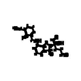 N#Cc1cccc(CNc2cccc3c2CN(C(O)(C=O)CCC=O)C3=O)c1F